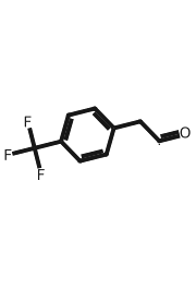 O=[C]Cc1ccc(C(F)(F)F)cc1